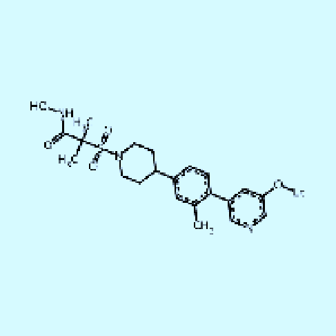 CCOc1cncc(-c2ccc(C3CCN(S(=O)(=O)C(C)(C)C(=O)NO)CC3)cc2C)c1